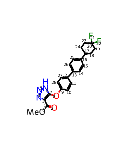 COC(=O)c1nn[nH]c1Oc1ccc(-c2ccc(C3CCC(F)(F)CC3)cc2)cc1